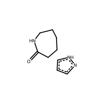 O=C1CCCCCN1.c1cn[nH]c1